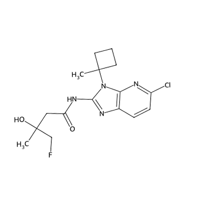 CC(O)(CF)CC(=O)Nc1nc2ccc(Cl)nc2n1C1(C)CCC1